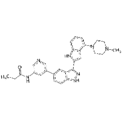 CCC(=O)Nc1cncc(-c2ccc3[nH]nc(-c4cc5c(N6CCN(C)CC6)cccc5[nH]4)c3c2)c1